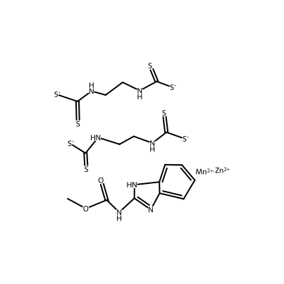 COC(=O)Nc1nc2ccccc2[nH]1.S=C([S-])NCCNC(=S)[S-].S=C([S-])NCCNC(=S)[S-].[Mn+2].[Zn+2]